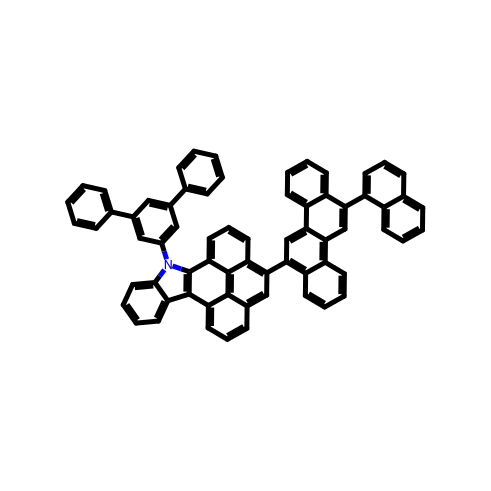 c1ccc(-c2cc(-c3ccccc3)cc(-n3c4ccccc4c4c5cccc6cc(-c7cc8c9ccccc9c(-c9cccc%10ccccc9%10)cc8c8ccccc78)c7cccc(c7c65)c43)c2)cc1